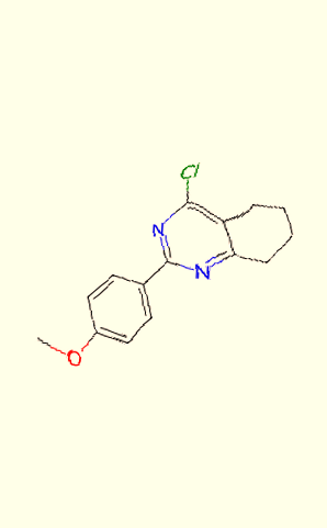 COc1ccc(-c2nc(Cl)c3c(n2)CCCC3)cc1